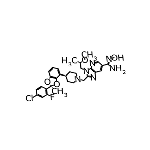 CO[C@H](C)Cn1c(CN2CCC(c3cccc4c3O[C@@](C)(c3ccc(Cl)cc3F)O4)CC2)nc2cc(/C(N)=N/O)cnc21